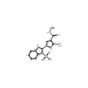 CCS(=O)(=O)n1c(-n2cc(C(=O)OC(C)(C)C)c(C(F)(F)F)n2)nc2ccccc21